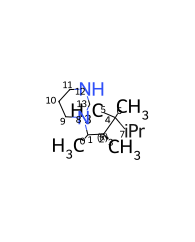 CC([C@H](C)C(C)(C)C(C)C)N1CCCNC1